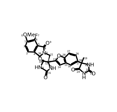 COc1ccc2c(c1F)C(=O)N(C[C@@]1(c3cc4cc(C5(C)NC(=O)NC5=O)ccc4o3)NC(=O)NC1=O)C2